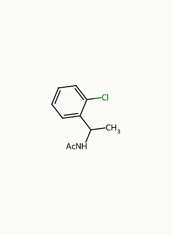 CC(=O)NC(C)c1ccccc1Cl